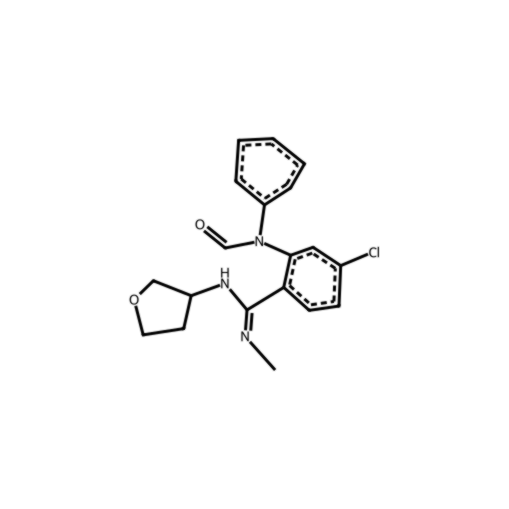 C/N=C(/NC1CCOC1)c1ccc(Cl)cc1N(C=O)c1ccccc1